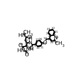 CNC(=O)CC(NC(=O)c1ccc(OCc2cc(C)nc3ccccc23)cc1)C1NC(=O)NC1=O